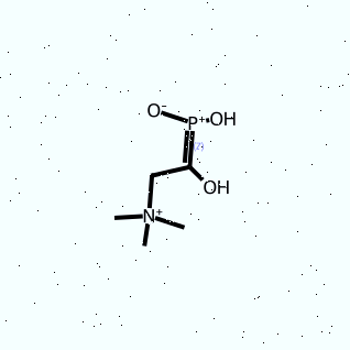 C[N+](C)(C)C/C(O)=[P+](\[O-])O